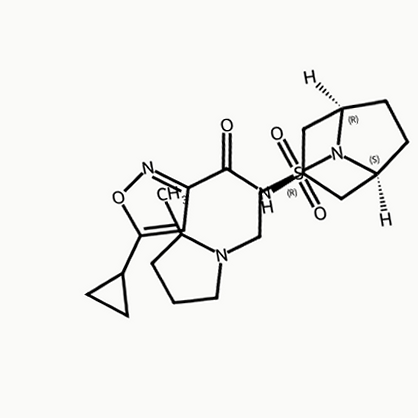 CC1CCCN1CCS(=O)(=O)N1[C@@H]2CC[C@H]1C[C@@H](NC(=O)c1cc(C3CC3)on1)C2